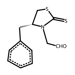 O=CCN1C(=S)SC[C@H]1Cc1ccccc1